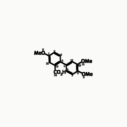 COc1ccc(-c2ccc(OC)c(OC)c2)c(C(=O)O)c1